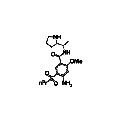 CCCS(=O)(=O)c1cc(C(=O)NC(C)C2CCCN2)c(OC)cc1N